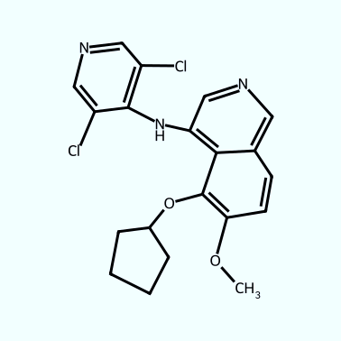 COc1ccc2cncc(Nc3c(Cl)cncc3Cl)c2c1OC1CCCC1